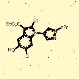 CCCn1cc(-n2c(CC)c(C(=O)OCC)c3cc(O)c(Cl)cc32)cn1